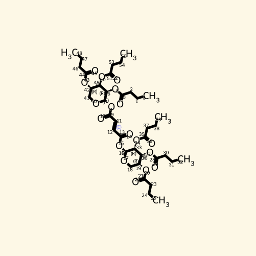 CCCC(=O)O[C@H]1[C@H](OC(=O)/C=C/C(=O)O[C@@H]2OC[C@@H](OC(=O)CCC)[C@@H](OC(=O)CCC)[C@H]2OC(=O)CCC)OC[C@@H](OC(=O)CCC)[C@H]1OC(=O)CCC